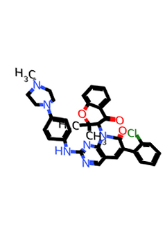 CN1CCN(c2ccc(Nc3ncc4cc(-c5ccccc5Cl)c(=O)n(C5C(=O)c6ccccc6OC5(C)C)c4n3)cc2)CC1